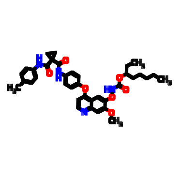 CCCCCC(CC)OC(=O)NOc1cc2c(Oc3ccc(NC(=O)C4(C(=O)Nc5ccc(C)cc5)CC4)cc3)ccnc2cc1OC